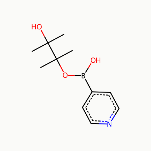 CC(C)(O)C(C)(C)OB(O)c1ccncc1